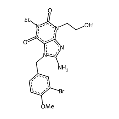 CCn1c(=O)c2c(nc(N)n2Cc2ccc(OC)c(Br)c2)n(CCO)c1=O